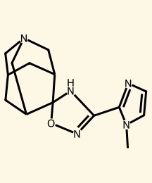 Cn1ccnc1C1=NOC2(N1)C1CC3CC2CN(C3)C1